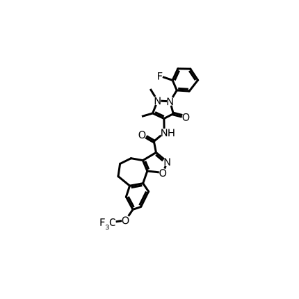 Cc1c(NC(=O)c2noc3c2CCCc2cc(OC(F)(F)F)ccc2-3)c(=O)n(-c2ccccc2F)n1C